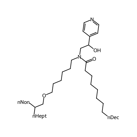 CCCCCCCCCCCCCCCCCC(=O)N(CCCCCCOCC(CCCCCCC)CCCCCCCCC)CC(O)c1ccncc1